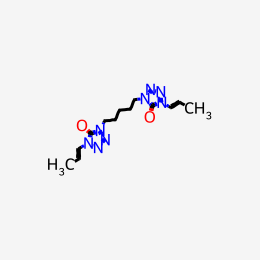 C/C=C/n1nnn(CCCCCn2nnn(/C=C/C)c2=O)c1=O